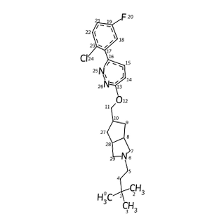 CC(C)(C)CCN1CC2CC(COc3ccc(-c4cc(F)ccc4Cl)nn3)CC2C1